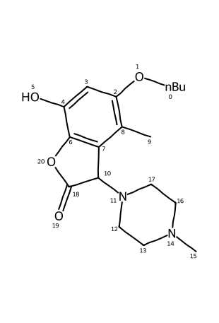 CCCCOc1cc(O)c2c(c1C)C(N1CCN(C)CC1)C(=O)O2